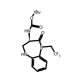 CC(C)(C)OC(=O)N[C@@H]1CNc2ccccc2N(CC(F)(F)F)C1=O